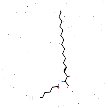 CCCCCCCCCCCCCC=CC(O)C(CO)NC(=O)CCCCC